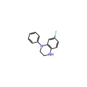 Fc1ccc2c(c1)N(c1ccccc1)CCN2